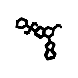 CN1Cc2cc(C(C)(C)N3CCOCC3)ccc2C(c2cc3ccccc3s2)C1